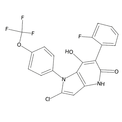 O=c1[nH]c2cc(Cl)n(-c3ccc(OC(F)(F)F)cc3)c2c(O)c1-c1ccccc1F